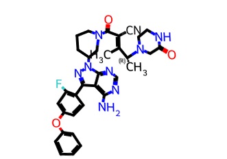 CC(=C(C#N)C(=O)N1CCCC(n2nc(-c3ccc(Oc4ccccc4)cc3F)c3c(N)ncnc32)C1)[C@@H](C)N1CCNC(=O)C1